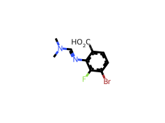 CN(C)C=Nc1c(C(=O)O)ccc(Br)c1F